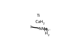 CNI.[CaH2].[PbH2].[Ti]